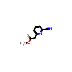 COC(=S)Cc1cccc(C#N)n1